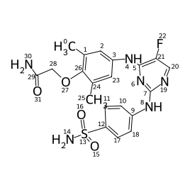 Cc1cc(Nc2nc(Nc3ccc(S(N)(=O)=O)cc3)ncc2F)cc(C)c1OCC(N)=O